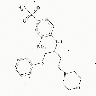 NS(=O)(=O)c1ccc(NC(CCN2CCOCC2)CSc2ccccc2)c([N+](=O)[O-])c1